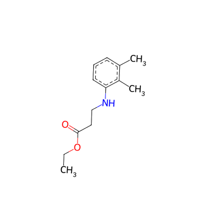 CCOC(=O)CCNc1cccc(C)c1C